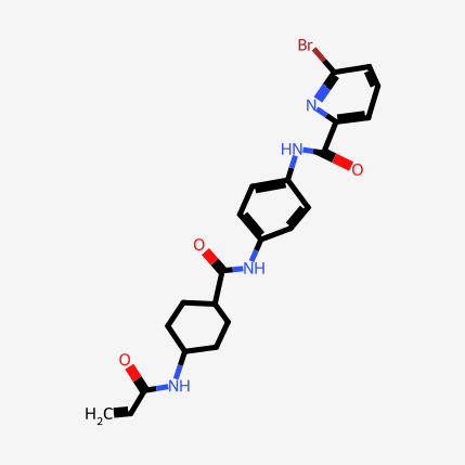 C=CC(=O)NC1CCC(C(=O)Nc2ccc(NC(=O)c3cccc(Br)n3)cc2)CC1